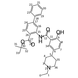 CCN1CCC(c2ccc(O)c(C(=O)Nc3cc(-c4ccccc4)ccc3C(=O)OC(C)(C)C)c2)CC1